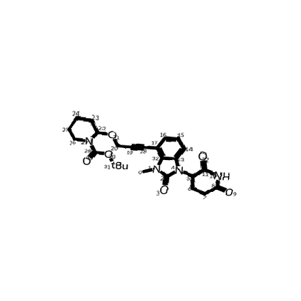 Cn1c(=O)n(C2CCC(=O)NC2=O)c2cccc(C#CCOC3CCCCN3C(=O)OC(C)(C)C)c21